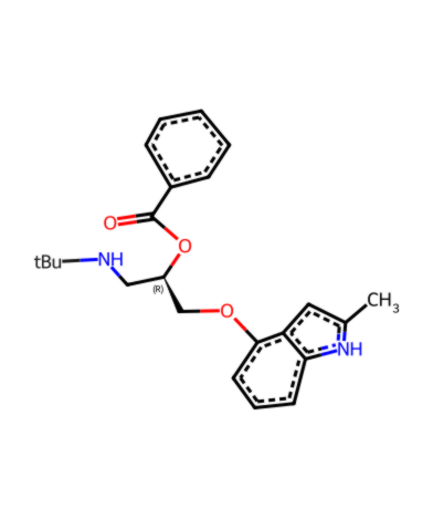 Cc1cc2c(OC[C@@H](CNC(C)(C)C)OC(=O)c3ccccc3)cccc2[nH]1